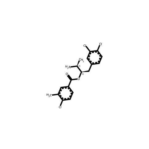 Cc1cc(C(=O)O[C@H](Cc2ccc(Cl)c(Cl)c2)[C@H](C)N)ccc1Cl